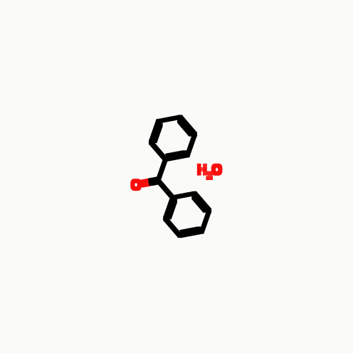 O.O=C(c1ccccc1)c1ccccc1